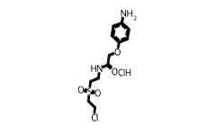 Cl.Nc1ccc(OCC(=O)NCCS(=O)(=O)CCCl)cc1